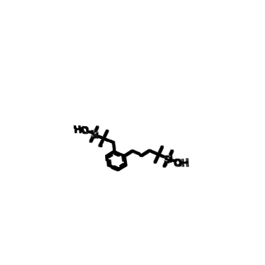 CC(C)(CCCc1ccccc1CC(C)(C)[Si](C)(C)O)[Si](C)(C)O